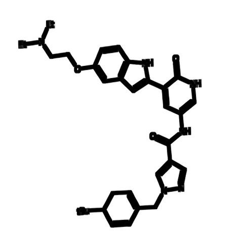 CCN(CC)CCOc1ccc2[nH]c(-c3cc(NC(=O)c4cnn(CC5=CCC(C(C)(C)C)C=C5)c4)c[nH]c3=O)cc2c1